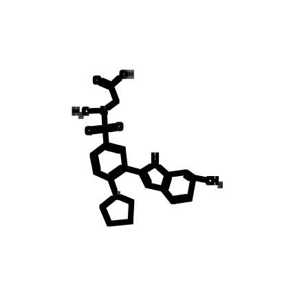 Cc1ccc2cc(-c3cc(S(=O)(=O)N(C)CC(=O)O)ccc3N3CCCC3)[nH]c2c1